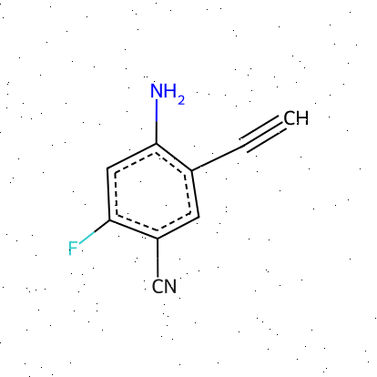 C#Cc1cc(C#N)c(F)cc1N